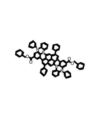 O=C(OCc1ccccc1)c1cc2c3c(c1)N(c1ccccc1)c1ccccc1B3c1cc3c(-c4ccccc4)cc4c5c(cc6c(-c7ccccc7)cc-2c1c6c35)B1c2ccccc2N(c2ccccc2)c2cc(C(=O)OCc3ccccc3)cc-4c21